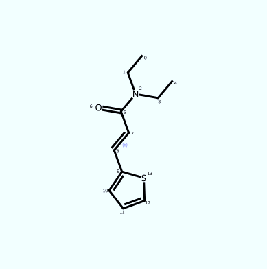 CCN(CC)C(=O)/C=C/c1cccs1